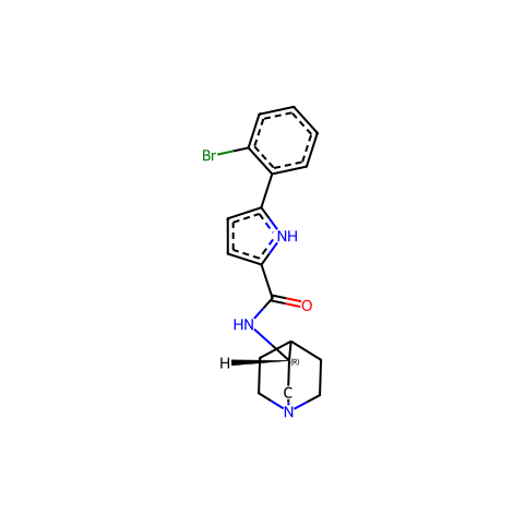 O=C(N[C@H]1CN2CCC1CC2)c1ccc(-c2ccccc2Br)[nH]1